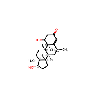 C[C@H]1C[C@H]2[C@@H]3CC[C@H](O)[C@@]3(C)CC[C@@H]2[C@]2(C)C1=CC(=O)CC2O